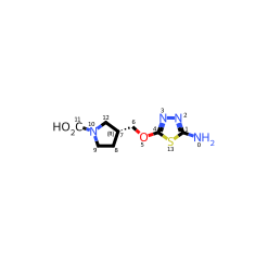 Nc1nnc(OC[C@@H]2CCN(C(=O)O)C2)s1